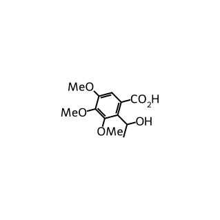 COc1cc(C(=O)O)c(C(C)O)c(OC)c1OC